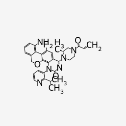 C=CC(=O)N1CCN(c2nc(=O)n(-c3cccnc3C(C)C)c3c4c(c(F)cc23)-c2c(N)cccc2CO4)[C@@H](C)C1